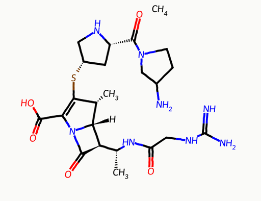 C.C[C@@H](NC(=O)CNC(=N)N)[C@H]1C(=O)N2C(C(=O)O)=C(S[C@@H]3CN[C@H](C(=O)N4CCC(N)C4)C3)[C@H](C)[C@H]12